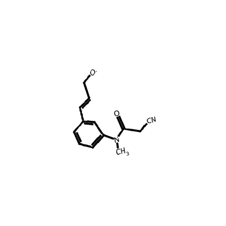 CN(C(=O)CC#N)c1cccc(C=CC[O])c1